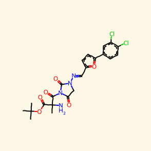 CC(C)(C)OC(=O)C(C)(N)C(=O)N1C(=O)CN(N=Cc2ccc(-c3ccc(Cl)c(Cl)c3)o2)C1=O